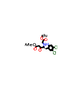 COC(=O)CC(=O)[C@@H](Cc1ccc(Cl)c(Cl)c1)NCC(=O)OC(C)(C)C